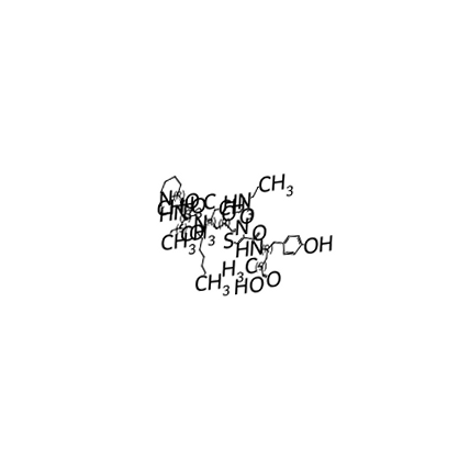 CCCCCCON(C(=O)[C@@H](NC(=O)[C@H]1CCCCN1C)[C@@H](C)CC)[C@H](C[C@@H](OC(=O)NCCC)c1nc(C(=O)N[C@@H](Cc2ccc(O)cc2)C[C@H](C)C(=O)O)cs1)C(C)C